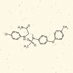 Cc1ccc(Oc2ccc(N(C[C@H](Nc3ccc(Cl)cc3)C(N)=O)S(C)(=O)=O)cc2)cc1